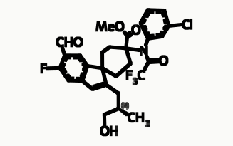 COC(=O)C1(N(C(=O)C(F)(F)F)c2cccc(Cl)c2)CCC2(CC1)C(C[C@@H](C)CO)=Cc1cc(F)c(C=O)cc12